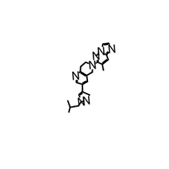 Cc1cc2nccn2nc1N1CCc2ncc(-c3cnn(CC(C)C)c3)cc2C1